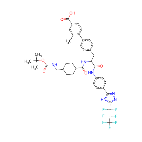 Cc1cc(C(=O)O)ccc1-c1ccc(CC(NC(=O)C2CCC(CNC(=O)OC(C)(C)C)CC2)C(=O)Nc2ccc(-c3nnc(C(F)(F)C(F)(F)C(F)(F)F)[nH]3)cc2)cc1